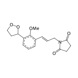 COc1c(/C=C/CN2C(=O)CCC2=O)cccc1C1CCOO1